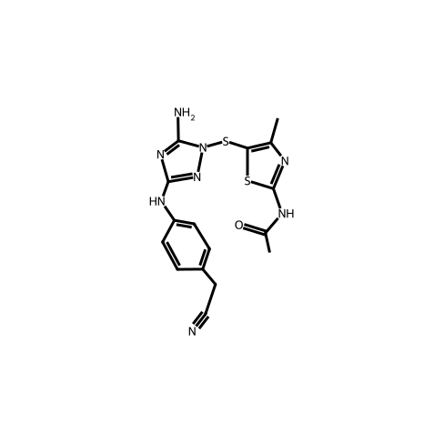 CC(=O)Nc1nc(C)c(Sn2nc(Nc3ccc(CC#N)cc3)nc2N)s1